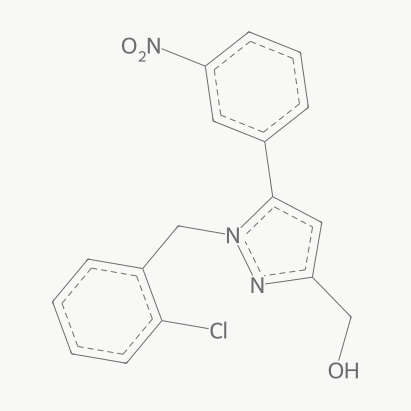 O=[N+]([O-])c1cccc(-c2cc(CO)nn2Cc2ccccc2Cl)c1